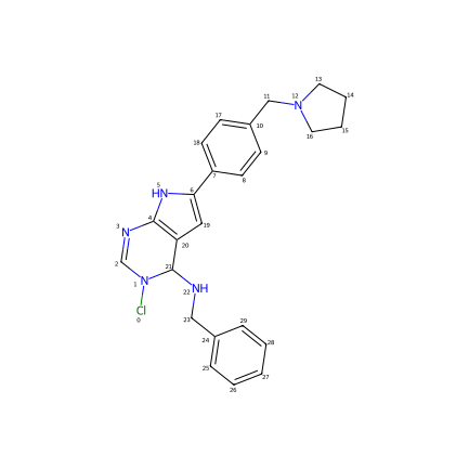 ClN1C=Nc2[nH]c(-c3ccc(CN4CCCC4)cc3)cc2C1NCc1ccccc1